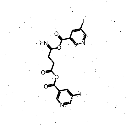 N=C(CCC(=O)OC(=O)c1cncc(I)c1)OC(=O)c1cncc(I)c1